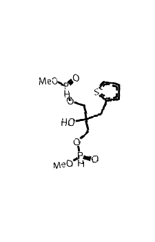 CO[PH](=O)OCC(O)(CO[PH](=O)OC)Cc1cccs1